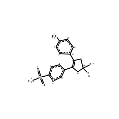 NS(=O)(=O)c1ccc(C2=C(c3ccc(C(F)(F)F)cc3)CC(F)(F)C2)cn1